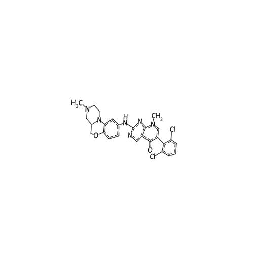 CN1CCN2c3cc(Nc4ncc5c(=O)c(-c6c(Cl)cccc6Cl)cn(C)c5n4)ccc3OCC2C1